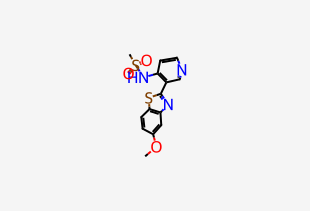 COc1ccc2sc(-c3cnccc3NS(C)(=O)=O)nc2c1